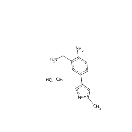 Cc1cn(-c2ccc(N)c(CN)c2)cn1.Cl.Cl